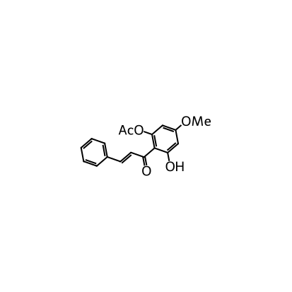 COc1cc(O)c(C(=O)C=Cc2ccccc2)c(OC(C)=O)c1